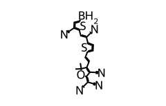 Bc1cc(C#N)c(/C=C(\C#N)c2ccc(/C=C/C3=C(C#N)C(=C(C#N)C#N)OC3(C)C)s2)s1